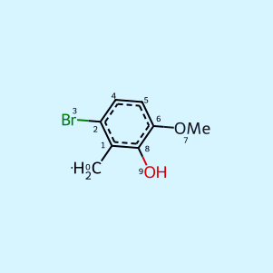 [CH2]c1c(Br)ccc(OC)c1O